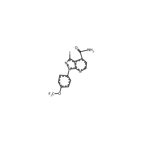 NC(=O)c1ccnc2c1c(I)nn2-c1ccc(OC(F)(F)F)cc1